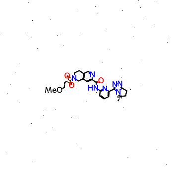 COCCS(=O)(=O)N1CCc2cnc(C(=O)Nc3cccc(-c4nnc5n4[C@H](C)CC5)n3)cc2C1